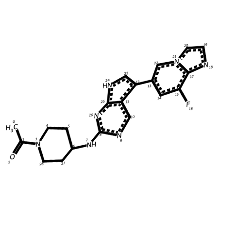 CC(=O)N1CCC(Nc2ncc3c(-c4cc(F)c5nccn5c4)c[nH]c3n2)CC1